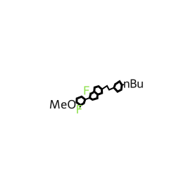 CCCCc1ccc(CCc2ccc3c(F)c(-c4ccc(OC)c(F)c4)ccc3c2)cc1